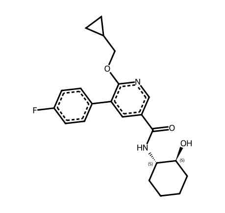 O=C(N[C@H]1CCCC[C@@H]1O)c1cnc(OCC2CC2)c(-c2ccc(F)cc2)c1